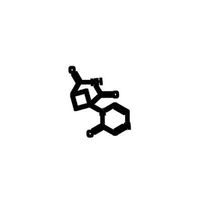 O=C1NC(=O)C2(n3ccncc3=O)CC1C2